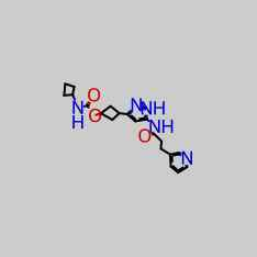 O=C(CCc1cccnc1)Nc1cc(C2CC(OC(=O)NC3CCC3)C2)n[nH]1